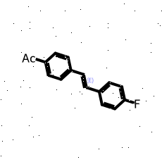 CC(=O)c1ccc(/C=C/c2ccc(F)cc2)cc1